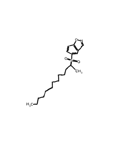 CCCCCCCCCCCC(C)S(=O)(=O)c1ccc2oncc2c1